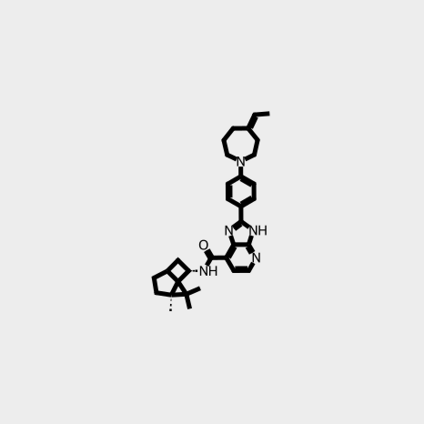 C/C=C1/CCCN(c2ccc(-c3nc4c(C(=O)N[C@H]5CC6CC[C@]7(C)C(C)(C)C657)ccnc4[nH]3)cc2)CC1